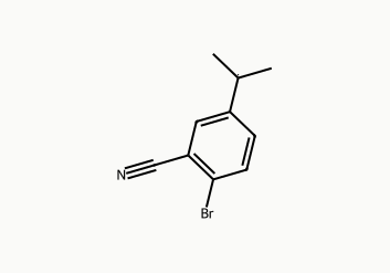 C[C](C)c1ccc(Br)c(C#N)c1